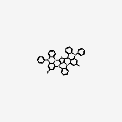 Fc1cc2c3c(c1)N1c4ccccc4N4c5cc(F)cc6c5B(c5ccccc5N6c5ccccc5)c5sc(c1c54)B3c1ccccc1N2c1ccccc1